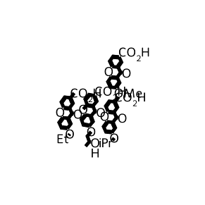 CC(C)Oc1ccc2oc3ccc(C(=O)O)cc3c(=O)c2c1.CC(O)COc1ccc2oc3ccc(C(=O)O)cc3c(=O)c2c1.CCOc1ccc2oc3ccc(C(=O)O)cc3c(=O)c2c1.COc1ccc2oc3ccc(C(=O)O)cc3c(=O)c2c1